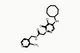 Cc1cnccc1CNC(=O)Cn1ncc(NC2CCCCCCC2)c(Cl)c1=O